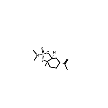 C=C(C)[C@@H]1CC[C@]2(C)S[P@](=S)(N(C)C)O[C@H]2C1